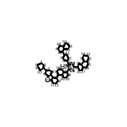 c1ccc(-c2ccc3c(c2)oc2cccc(-c4cccc5c(C6N=C(c7ccc8ccc9ccccc9c8c7)N=C(c7ccc(-c8cccc9ccccc89)cc7)N6)cccc45)c23)cc1